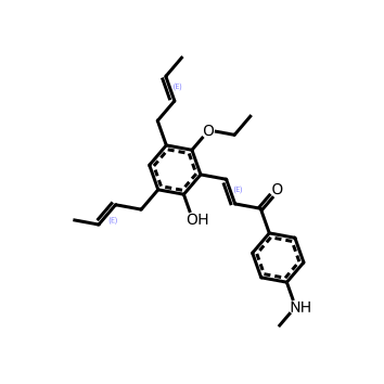 C/C=C/Cc1cc(C/C=C/C)c(OCC)c(/C=C/C(=O)c2ccc(NC)cc2)c1O